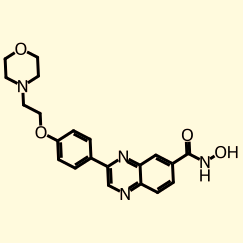 O=C(NO)c1ccc2ncc(-c3ccc(OCCN4CCOCC4)cc3)nc2c1